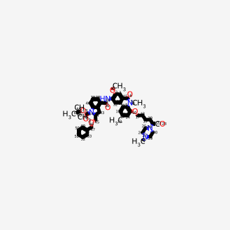 COc1cc(C(=O)N(C)c2ccc(C)cc2OCCCCC(=C=O)N2CCN(C)CC2)ccc1NC(=O)c1cccc2c1CC(COCc1ccccc1)N2C(=O)OC(C)(C)C